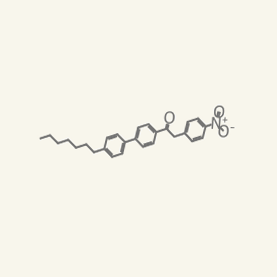 CCCCCCCc1ccc(-c2ccc(C(=O)Cc3ccc([N+](=O)[O-])cc3)cc2)cc1